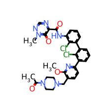 COc1nc(-c2cccc(-c3cccc(NC(=O)c4ncnn(C)c4=O)c3Cl)c2Cl)ccc1CN1CCN(C(C)=O)CC1